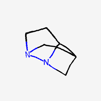 C1CN2CC3CN2C13